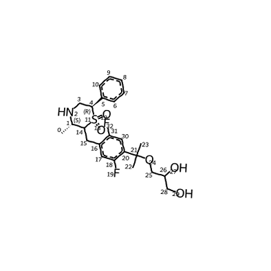 C[C@@H]1NC[C@@H](c2ccccc2)S(=O)(=O)C1Cc1cc(F)c(C(C)(C)OCC(O)CO)cc1F